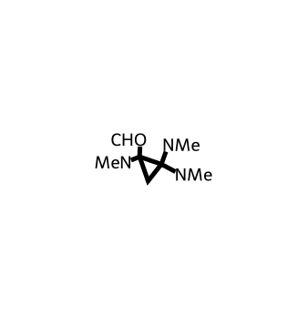 CNC1(C=O)CC1(NC)NC